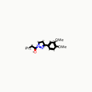 COc1ccc(C2=NN(C(=O)CC(C)C)CC2)cc1OC